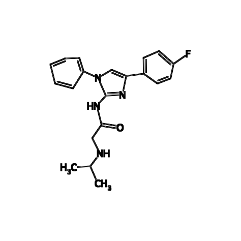 CC(C)NCC(=O)Nc1nc(-c2ccc(F)cc2)cn1-c1ccccc1